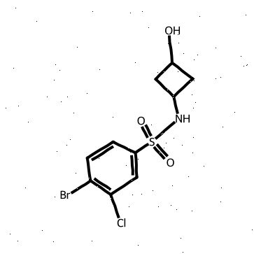 O=S(=O)(NC1CC(O)C1)c1ccc(Br)c(Cl)c1